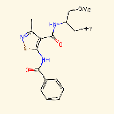 COCC(CC(C)C)NC(=O)c1c(C)nsc1NC(=O)c1ccccc1